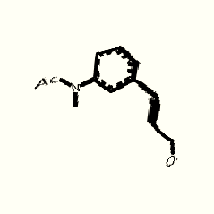 CC(=O)N(C)c1cccc(C=CC[O])c1